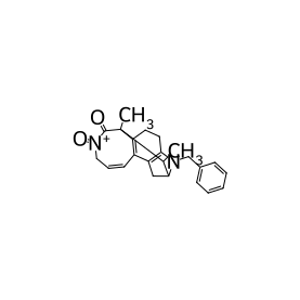 CC1C2CC3=C(CCC4=C3/C=C\C[N+](=O)C(=O)C41C)N2Cc1ccccc1